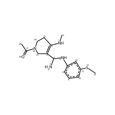 CNC1=C(C(N)Nc2cccc(SC)c2)CN(C(C)=O)CC1